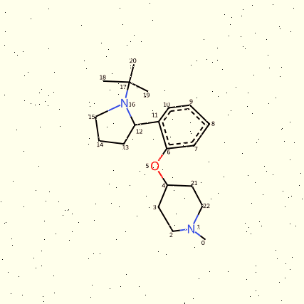 CN1CCC(Oc2ccccc2C2CCCN2C(C)(C)C)CC1